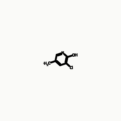 [CH2]c1cnc(O)c(Cl)c1